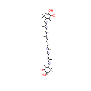 CC1=C(/C=C/C(C)=C/C=C/C(C)=C/CC/C=C(C)/C=C/C=C(C)/C=C/C2=C(C)C(=O)[C@@H](O)CC2(C)C)C(C)(C)C[C@H](O)C1=O